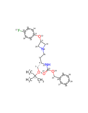 CC(C)(C)OC[C@H](CCN1CC(Oc2ccc(F)cc2)C1)NC(=O)OCc1ccccc1